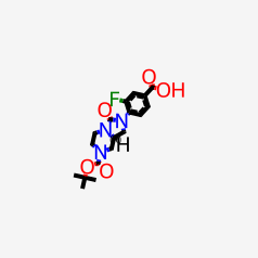 CC(C)(C)OC(=O)N1CCN2C(=O)N(c3ccc(C(=O)O)cc3F)C[C@@H]2C1